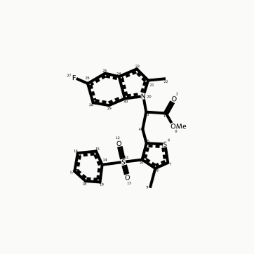 COC(=O)C(Cc1scc(C)c1S(=O)(=O)c1ccccc1)n1c(C)cc2cc(F)ccc21